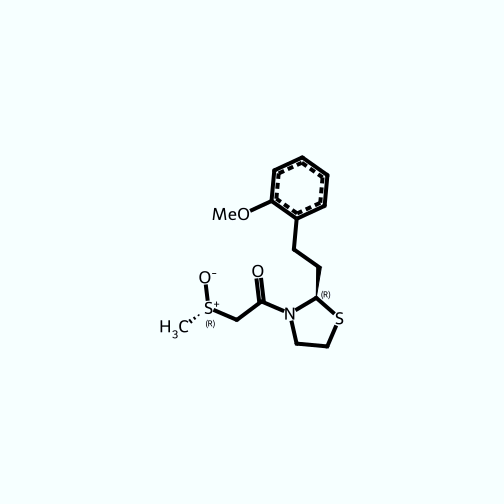 COc1ccccc1CC[C@H]1SCCN1C(=O)C[S@+](C)[O-]